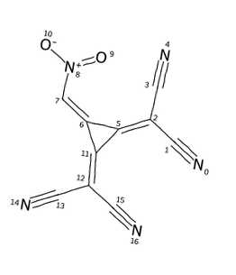 N#CC(C#N)=C1C(=C[N+](=O)[O-])C1=C(C#N)C#N